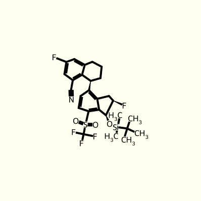 CC(C)(C)[Si](C)(C)O[C@H]1c2c(S(=O)(=O)C(F)(F)F)ccc([C@@H]3CCCc4cc(F)cc(C#N)c43)c2C[C@H]1F